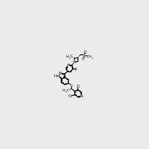 C[C@@H]1[C@@H](CS(C)(=O)=O)CN1c1ncc(-c2n[nH]c3ccc(O[C@H](C)c4c(Cl)cncc4Cl)cc23)cc1F